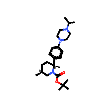 CC(C)N1CCN(c2ccc([C@]3(C)CC[C@H](C)CN3C(=O)OC(C)(C)C)cc2)CC1